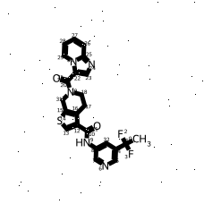 CC(F)(F)c1cncc(NC(=O)c2csc3c2CCN(C(=O)c2cnc4ccccn24)C3)c1